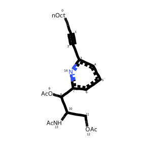 CCCCCCCCC#Cc1cccc(C(OC(C)=O)C(COC(C)=O)NC(C)=O)n1